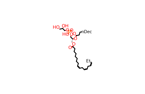 CC/C=C\C/C=C\C/C=C\CCCCCCCC(=O)OC[C@H](COP(=O)(O)OC[C@@H](O)CO)OC(=O)CCCCCCCCCCCC